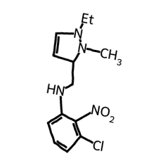 CCN1C=CC(CNc2cccc(Cl)c2[N+](=O)[O-])N1C